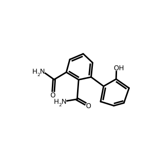 NC(=O)c1cccc(-c2ccccc2O)c1C(N)=O